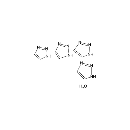 O.c1c[nH]nn1.c1c[nH]nn1.c1c[nH]nn1.c1c[nH]nn1